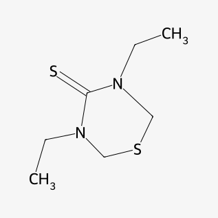 CCN1CSCN(CC)C1=S